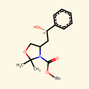 CC(C)(C)OC(=O)N1C(C[C@H](O)c2ccccc2)COC1(C)C